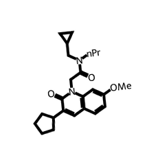 CCCN(CC1CC1)C(=O)Cn1c(=O)c(C2CCCC2)cc2ccc(OC)cc21